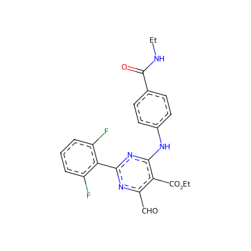 CCNC(=O)c1ccc(Nc2nc(-c3c(F)cccc3F)nc(C=O)c2C(=O)OCC)cc1